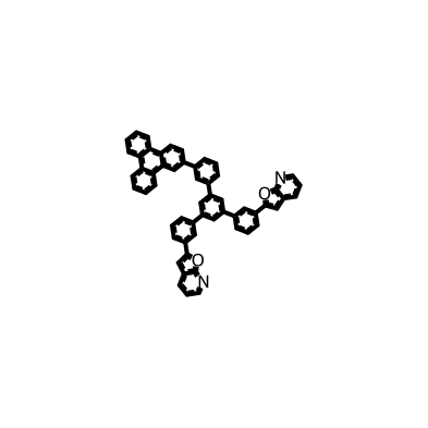 c1cc(-c2cc(-c3cccc(-c4cc5cccnc5o4)c3)cc(-c3cccc(-c4cc5cccnc5o4)c3)c2)cc(-c2ccc3c4ccccc4c4ccccc4c3c2)c1